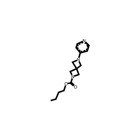 CCCCOC(=O)N1CC2(C1)CN(c1ccncc1)C2